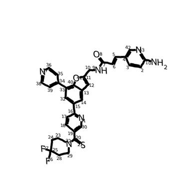 Nc1ccc(/C=C/C(=O)NCc2cc3cc(-c4ccc(C(=S)N5CCC(F)(F)CC5)cn4)cc(-c4ccncc4)c3o2)cn1